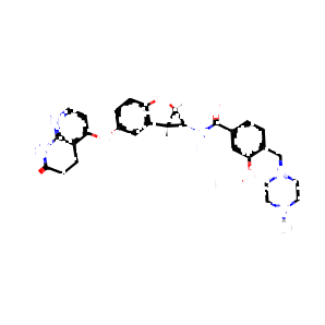 CCN1CCN(Cc2ccc(C(=O)N[C@@H]3[C@H]4Oc5ccc(Oc6ccnc7c6CCC(=O)N7)cc5[C@@H]34)cc2OC(F)(F)F)CC1